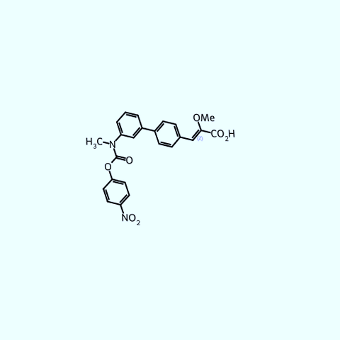 CO/C(=C\c1ccc(-c2cccc(N(C)C(=O)Oc3ccc([N+](=O)[O-])cc3)c2)cc1)C(=O)O